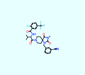 CC(C)[C@@H](NC(=O)c1cc(C(F)(F)F)ccc1F)C(=O)N1CCC2(CC1)C(=O)N(C)C(=O)N2Cc1cccc(C#N)c1